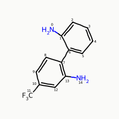 Nc1ccccc1-c1ccc(C(F)(F)F)cc1N